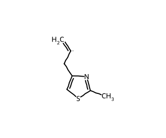 C=[C]Cc1csc(C)n1